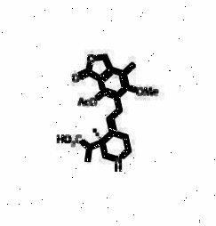 COc1c(C)c2c(c(OC(C)=O)c1C/C=C1\CCNC[C@@]1(C)C(C)C(=O)O)C(=O)OC2